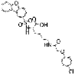 O=C(COc1ccc(Cl)cc1)NCCCCC(NS(=O)(=O)c1ccc2oc3ccccc3c2c1)C(=O)O